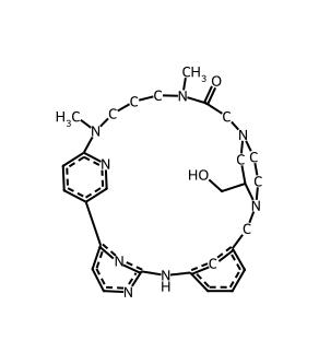 CN1CCCN(C)c2ccc(cn2)-c2ccnc(n2)Nc2cccc(c2)CN2CCN(CC1=O)CC2CO